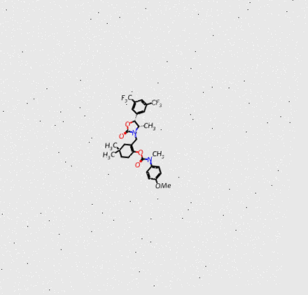 COc1ccc(N(C)C(=O)OC2=C(CN3C(=O)O[C@H](c4cc(C(F)(F)F)cc(C(F)(F)F)c4)[C@@H]3C)CC(C)(C)CC2)cc1